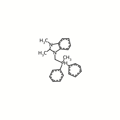 CC1N(C)c2ccccc2N1C[PH](C)(c1ccccc1)c1ccccc1